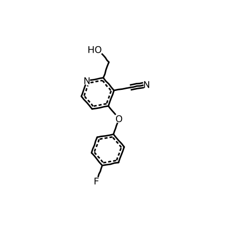 N#Cc1c(Oc2ccc(F)cc2)ccnc1CO